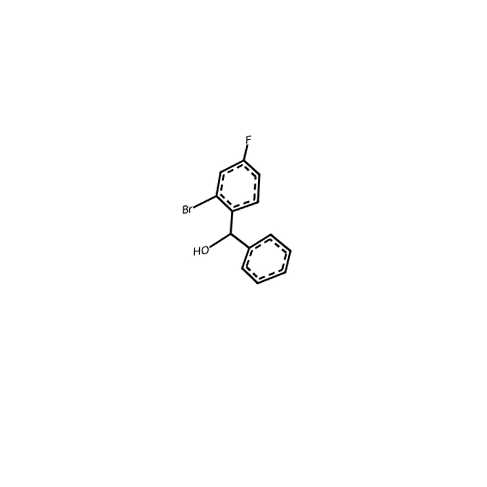 OC(c1ccccc1)c1ccc(F)cc1Br